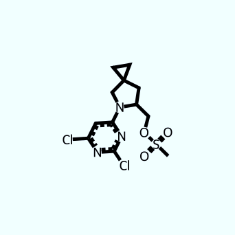 CS(=O)(=O)OCC1CC2(CC2)CN1c1cc(Cl)nc(Cl)n1